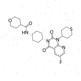 O=C(N[C@H]1CC[C@@H](n2c(=O)c3cc(F)cnc3n(C3CCSCC3)c2=O)CC1)C1CCOCC1